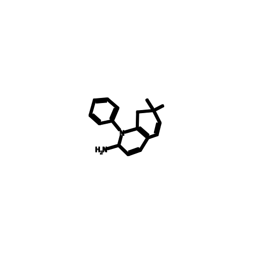 CC1(C)C=CC2=C(C1)N(c1ccccc1)C(N)C=C2